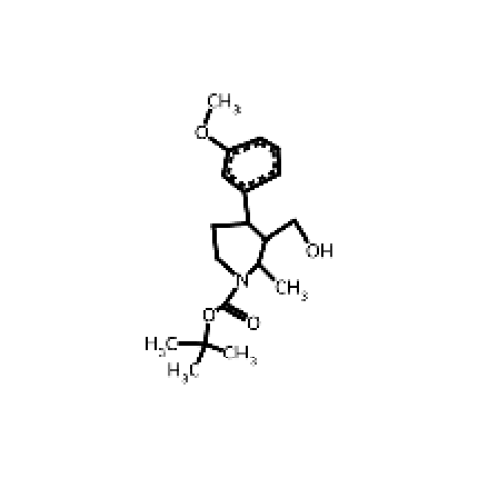 COc1cccc(C2CCN(C(=O)OC(C)(C)C)C(C)C2CO)c1